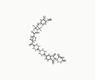 CC1(C)[C@H](NC(=O)C23CCC(C(=O)N4CCN(C5CCN(c6ccc7c(c6)C(=O)N(C6CCC(=O)NC6=O)C7=O)CC5)CC4)(CC2)CC3)C(C)(C)[C@H]1Oc1ccc(C#N)c(Cl)c1